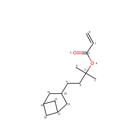 C=CC(=O)OC(C)(C)CCC1CC2CC(C1)C2